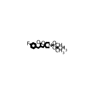 CC(C)(C)OC(=O)N1CCC2(CC1)CC(Cc1ccc(F)cc1)C(=O)O2